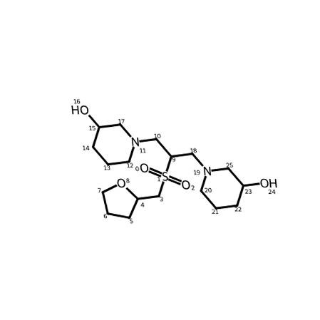 O=S(=O)(CC1CCCO1)C(CN1CCCC(O)C1)CN1CCCC(O)C1